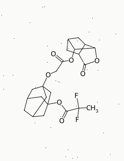 CC(F)(F)C(=O)OC12CC3CC(CC(OCC(=O)OC4C5CC6C(=O)OC4C6C5)(C3)C1)C2